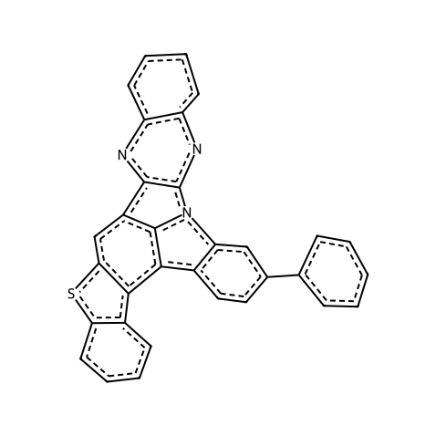 c1ccc(-c2ccc3c4c5c(cc6c7nc8ccccc8nc7n(c3c2)c64)sc2ccccc25)cc1